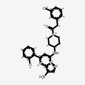 Bc1cnn2c(NC3CCN(C(=O)Cc4cccc(Cl)c4)CC3)cc(-c3ccccc3Cl)nc12